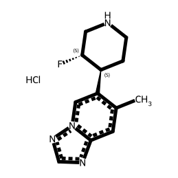 Cc1cc2ncnn2cc1[C@@H]1CCNC[C@H]1F.Cl